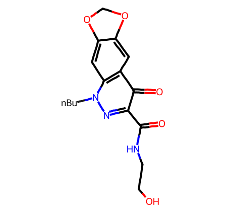 CCCCn1nc(C(=O)NCCO)c(=O)c2cc3c(cc21)OCO3